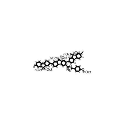 CCCCCCCCOc1ccc(-c2nnc(-c3cc4c(cc3-c3ccc5c(c3)C(CCCCCCCC)(CCCCCCCC)c3cc(C)ccc3-5)C(CCCCCCCC)(CCCCCCCC)c3cc(-c5ccc6c(c5)C(CCCCCCCC)(CCCCCCCC)c5cc(C)ccc5-6)ccc3-4)o2)cc1